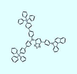 c1ccc([Si](c2ccccc2)(c2ccccc2)c2ccc(-c3ccc(N(c4ccc(-c5ccc([Si](c6ccccc6)(c6ccccc6)c6ccccc6)cc5)cc4)c4ccc(-c5ccc(-n6c7ccccc7c7c8ccccc8ccc76)cc5)c5nsnc45)cc3)cc2)cc1